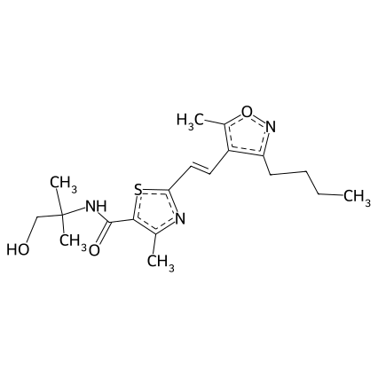 CCCCc1noc(C)c1/C=C/c1nc(C)c(C(=O)NC(C)(C)CO)s1